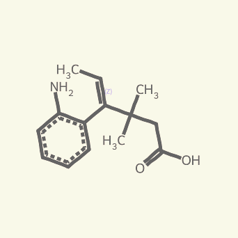 C/C=C(\c1ccccc1N)C(C)(C)CC(=O)O